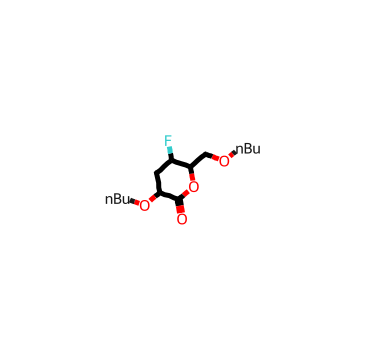 CCCCOCC1OC(=O)C(OCCCC)CC1F